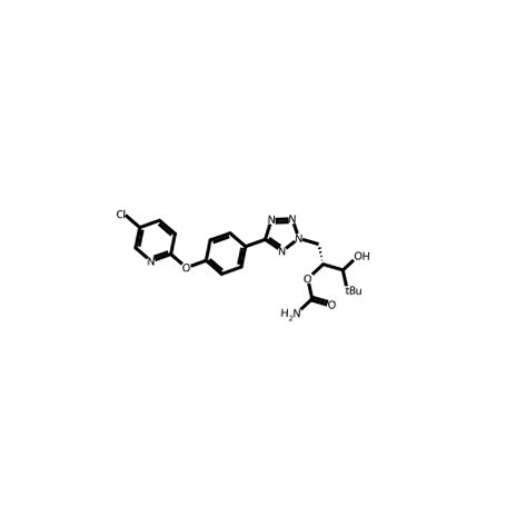 CC(C)(C)C(O)[C@@H](Cn1nnc(-c2ccc(Oc3ccc(Cl)cn3)cc2)n1)OC(N)=O